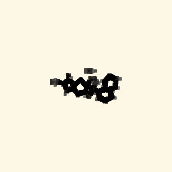 Cc1nc2c([nH]1)CC([N+](=O)[O-])(S(=O)(=O)c1cccc3cnccc13)C=C2.Cl